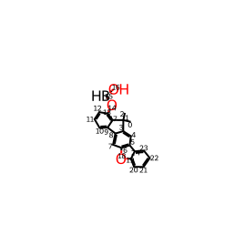 CC1(C)c2cc3c(cc2-c2cccc(OBO)c21)oc1ccccc13